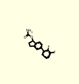 NC(=O)OC1CCc2cc(-c3cccc(F)c3F)ccc21